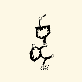 COc1ccc(Sc2occc2C(=O)O)cc1